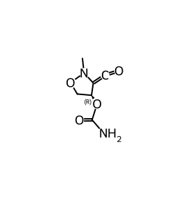 CN1OC[C@H](OC(N)=O)C1=C=O